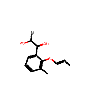 CC=COc1c(C)cccc1C(O)C(O)CC